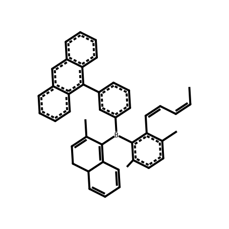 C/C=C\C=C/c1c(C)ccc(C)c1B(C1=C2C=CC=CC2CC=C1C)c1cccc(-c2c3ccccc3cc3ccccc23)c1